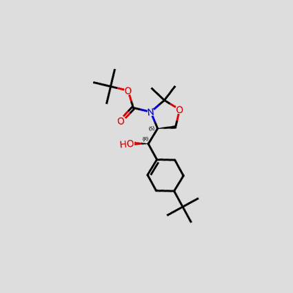 CC(C)(C)OC(=O)N1[C@H]([C@H](O)C2=CCC(C(C)(C)C)CC2)COC1(C)C